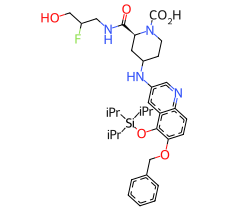 CC(C)[Si](Oc1c(OCc2ccccc2)ccc2ncc(NC3CCN(C(=O)O)[C@H](C(=O)NCC(F)CO)C3)cc12)(C(C)C)C(C)C